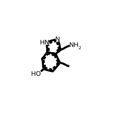 Cc1cc(O)cc2[nH]nc(N)c12